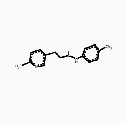 Cc1ccc(NNCCc2ccc(C)nc2)cc1